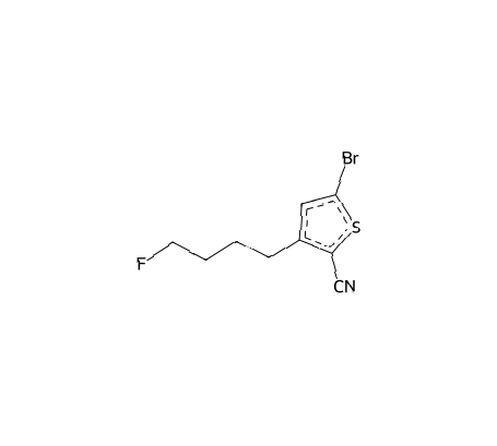 N#Cc1sc(Br)cc1CCCCF